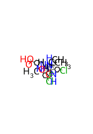 CNc1cc(C(=O)O)ccc1NC(=O)[C@@H]1N[C@@H](CC(C)(C)C)C2(C(=O)Nc3cc(Cl)ccc32)[C@@H]1c1cccc(Cl)c1F